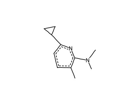 Cc1ccc(C2CC2)nc1N(C)C